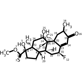 COC(=S)[C@@]1(O)CC[C@H]2[C@@H]3C[C@H](F)C4=CC(=O)C(C)C[C@]4(C)[C@@]3(F)[C@@H](O)C[C@@]21C